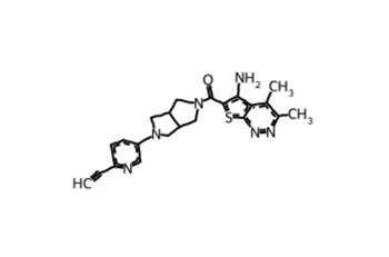 C#Cc1ccc(N2CC3CN(C(=O)c4sc5nnc(C)c(C)c5c4N)CC3C2)cn1